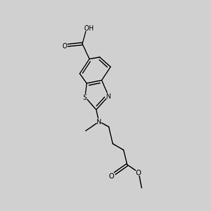 COC(=O)CCCN(C)c1nc2ccc(C(=O)O)cc2s1